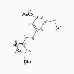 COc1cc(CO)cc(CCc2cc(C(C)(C)C)n[nH]2)c1